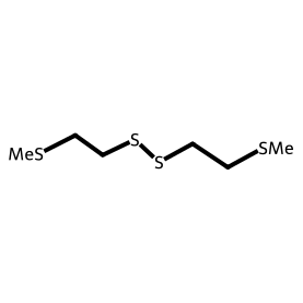 CSCCSSCCSC